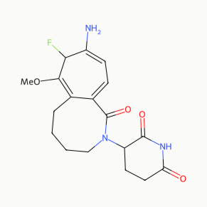 COC1=C2CCCCN(C3CCC(=O)NC3=O)C(=O)C2=CC=C(N)C1F